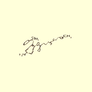 COCCSSCCCC(=O)Oc1ccc(N)cc1C(=O)O